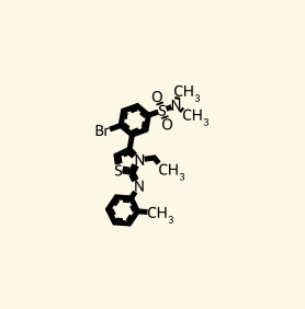 CCn1c(-c2cc(S(=O)(=O)N(C)C)ccc2Br)csc1=Nc1ccccc1C